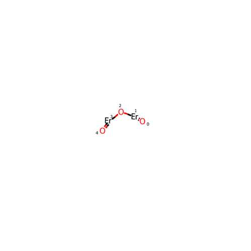 [O]=[Er][O][Er]=[O]